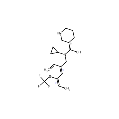 C=C/C(=C\C(=C/C)SC(F)(F)F)CN(C1CC1)C(O)[C@@H]1CCCNC1